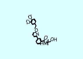 COc1ccc(CCOc2cccc(-c3cccc(C(=O)NC(C)(C)CO)c3)n2)cc1OC